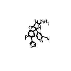 CN1C(=O)C(c2ccnc(CF)c2)(c2ccc(F)c(-c3ccsc3)c2)N=C1N